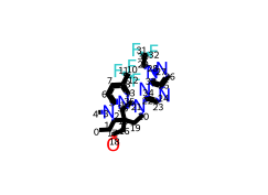 CCC(N(C)c1ccc(C(F)(F)F)cn1)C1(CC=O)CCN(c2cnc3cnn(CC(F)F)c3n2)CC1